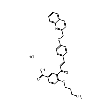 CCCCOc1ccc(C(=O)O)cc1C(=O)C=Cc1ccc(OCc2ccc3ccccc3n2)cc1.Cl